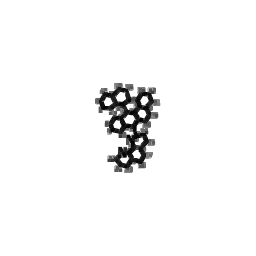 c1ccc2c(-c3c4ccccc4c(-c4ccc5ccc6cccnc6c5n4)c4ccc5ccccc5c34)cccc2c1